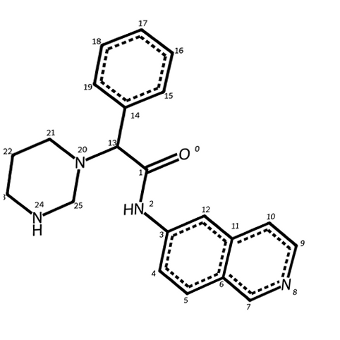 O=C(Nc1ccc2cnccc2c1)C(c1ccccc1)N1CCCNC1